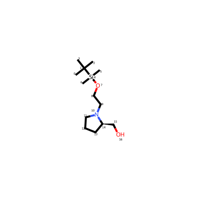 CC(C)(C)[Si](C)(C)OCCN1CCC[C@@H]1CO